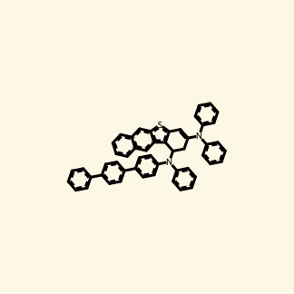 C1=C(N(c2ccccc2)c2ccccc2)CC(N(c2ccccc2)c2ccc(-c3ccc(-c4ccccc4)cc3)cc2)c2c1sc1cc3ccccc3cc21